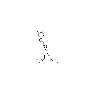 NCCOCCOCCN(CCN)CCN